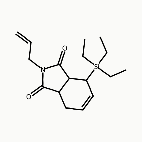 C=CCN1C(=O)C2CC=CC([Si](CC)(CC)CC)C2C1=O